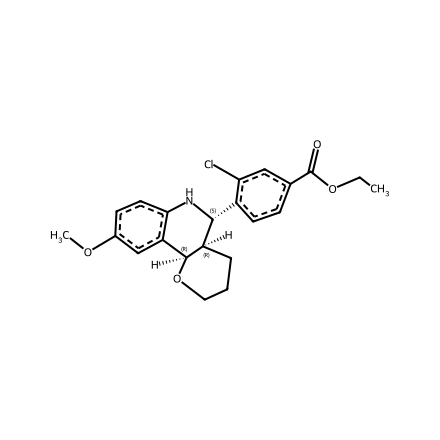 CCOC(=O)c1ccc([C@H]2Nc3ccc(OC)cc3[C@@H]3OCCC[C@H]23)c(Cl)c1